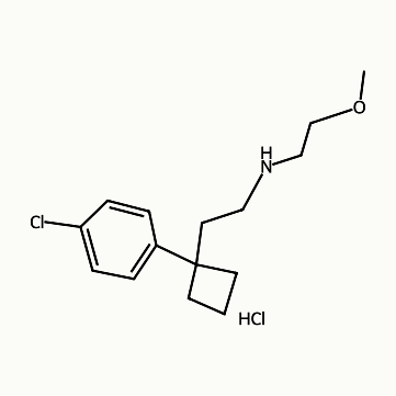 COCCNCCC1(c2ccc(Cl)cc2)CCC1.Cl